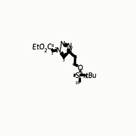 CCOC(=O)Cn1cc(CCO[Si](C)(C)C(C)(C)C)nn1